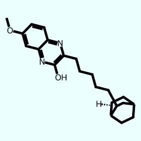 COc1ccc2nc(CCCCC[C@H]3CC4CCC3CC4)c(O)nc2c1